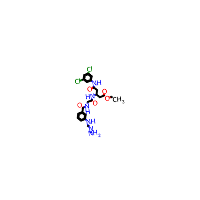 CCOC(=O)CC(CC(=O)Nc1cc(Cl)cc(Cl)c1)NC(=O)CNC(=O)c1cccc(NC=NN)c1